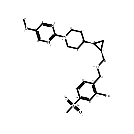 COc1cnc(N2CCC([C@H]3C[C@H]3COCc3ccc(S(C)(=O)=O)cc3F)CC2)nc1